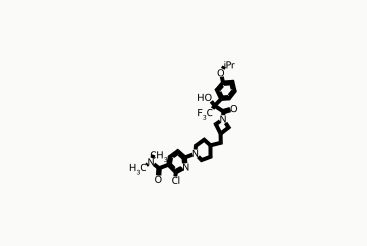 CC(C)Oc1cccc(C(O)(C(=O)N2CC(CC3CCN(c4ccc(C(=O)N(C)C)c(Cl)n4)CC3)C2)C(F)(F)F)c1